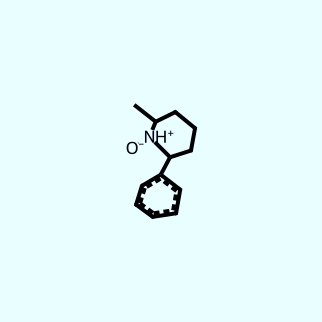 CC1CCCC(c2ccccc2)[NH+]1[O-]